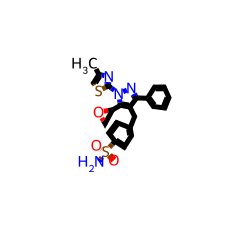 Cc1csc(-n2nc(-c3ccccc3)c(Cc3ccc(S(N)(=O)=O)cc3)c2C2CO2)n1